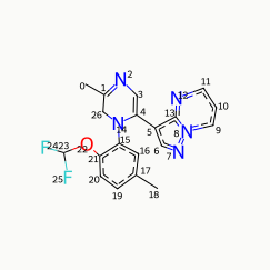 CC1=NC=C(c2cnn3cccnc23)N(c2cc(C)ccc2OC(F)F)C1